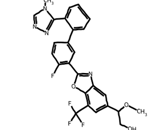 COC(CO)c1cc(C(F)(F)F)c2oc(-c3cc(-c4ccccc4-c4nncn4C)ccc3F)nc2c1